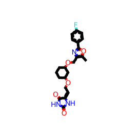 Cc1oc(-c2ccc(F)cc2)nc1COC1CCCC(OCC=C2NC(=O)NC2=O)C1